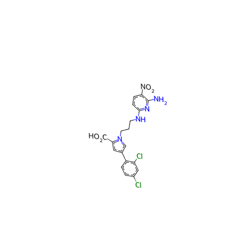 Nc1nc(NCCCn2cc(-c3ccc(Cl)cc3Cl)cc2C(=O)O)ccc1[N+](=O)[O-]